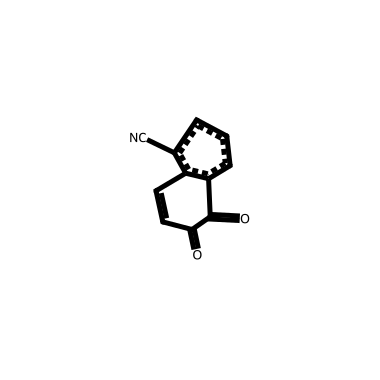 N#Cc1cccc2c1C=CC(=O)C2=O